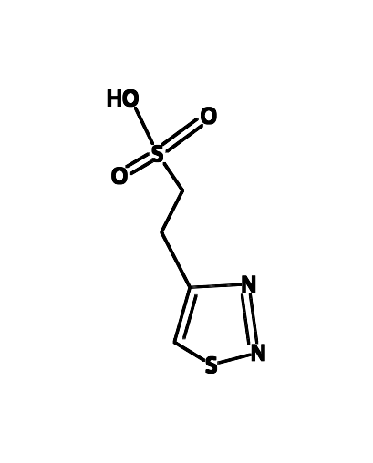 O=S(=O)(O)CCc1csnn1